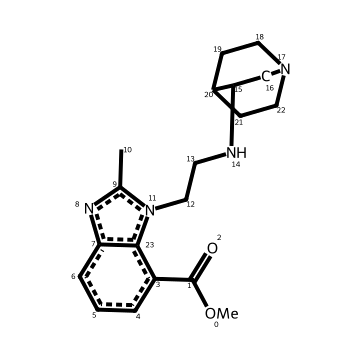 COC(=O)c1cccc2nc(C)n(CCNC3CN4CCC3CC4)c12